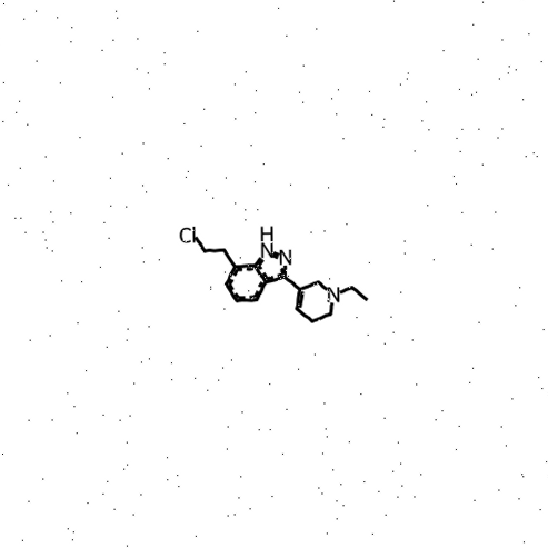 CCN1CCC=C(c2n[nH]c3c(CCCl)cccc23)C1